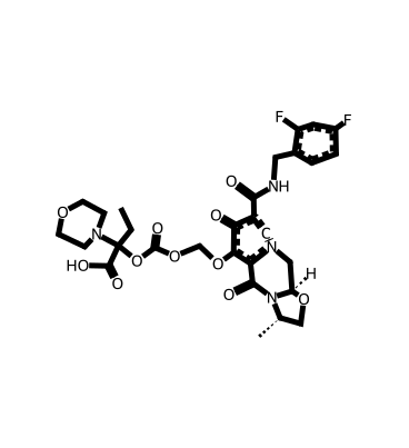 CCC(OC(=O)OCOc1c2n(cc(C(=O)NCc3ccc(F)cc3F)c1=O)C[C@H]1OC[C@H](C)N1C2=O)(C(=O)O)N1CCOCC1